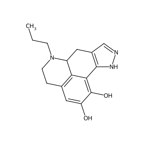 CCCN1CCc2cc(O)c(O)c3c2C1Cc1cn[nH]c1-3